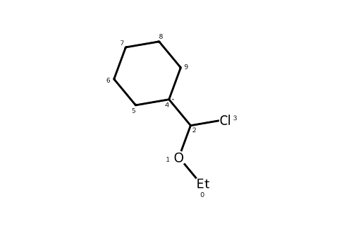 CCOC(Cl)[C]1CCCCC1